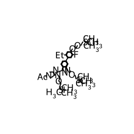 CCc1cc(OCOCC[Si](C)(C)C)c(F)cc1-c1ccc2c(-c3nc4c(n3COCC[Si](C)(C)C)CN(C(C)=O)C4)nn(COCC[Si](C)(C)C)c2c1